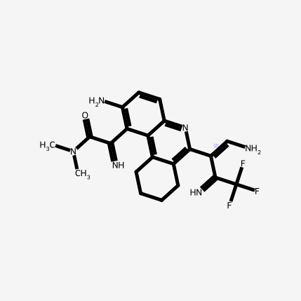 CN(C)C(=O)C(=N)c1c(N)ccc2nc(/C(=C/N)C(=N)C(F)(F)F)c3c(c12)CCCC3